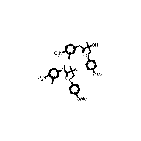 COc1ccc(OCC(C)(O)C(=O)Nc2ccc([N+](=O)[O-])c(C)c2)cc1.COc1ccc(OCC(C)(O)C(=O)Nc2ccc([N+](=O)[O-])c(C)c2)cc1